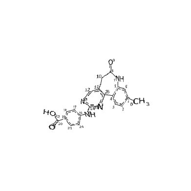 Cc1ccc2c(c1)NC(=O)Cc1cnc(Nc3ccc(C(=O)O)cc3)nc1-2